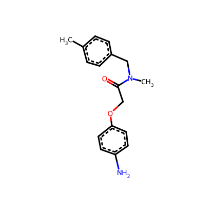 Cc1ccc(CN(C)C(=O)COc2ccc(N)cc2)cc1